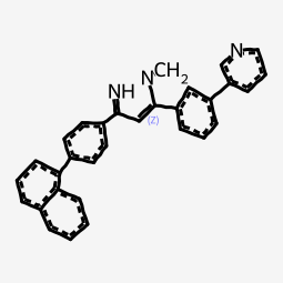 C=N/C(=C\C(=N)c1ccc(-c2cccc3ccccc23)cc1)c1cccc(-c2cccnc2)c1